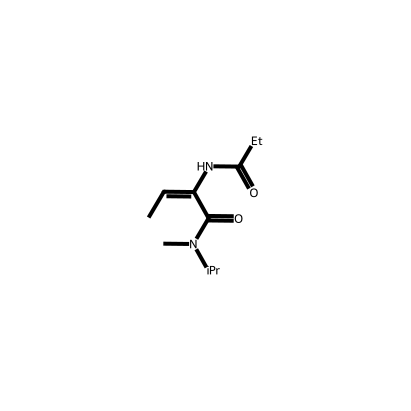 C/C=C(/NC(=O)CC)C(=O)N(C)C(C)C